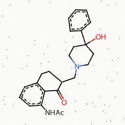 CC(=O)Nc1cccc2c1C(=O)C(CN1CCC(O)(c3ccccc3)CC1)CC2